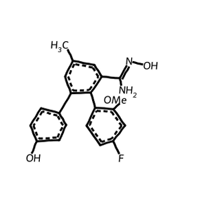 COc1cc(F)ccc1-c1c(/C(N)=N/O)cc(C)cc1-c1ccc(O)cc1